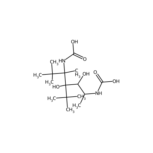 CC(NC(=O)O)C(O)C(O)(C(C)(C)C)C(C)(NC(=O)O)C(C)(C)C